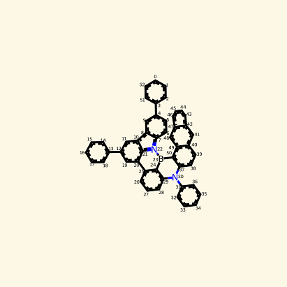 c1ccc(-c2ccc3c(c2)c2cc(-c4ccccc4)cc4c2n3B2c3c-4cccc3N(c3ccccc3)c3ccc4cc5ccccc5cc4c32)cc1